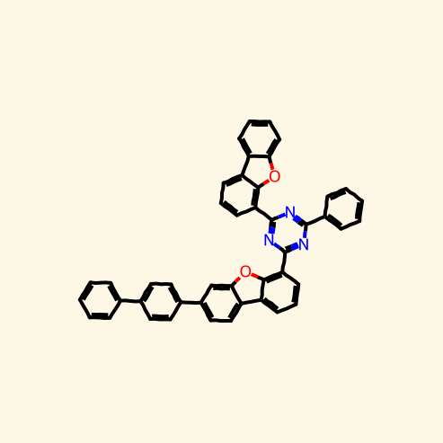 c1ccc(-c2ccc(-c3ccc4c(c3)oc3c(-c5nc(-c6ccccc6)nc(-c6cccc7c6oc6ccccc67)n5)cccc34)cc2)cc1